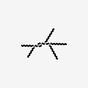 CCCCCCCCCCCCN(CCCCCCCCCCCC)CCN(CCCCCCCCCCCC)CCN1CCN(CCN(CCCCCCCCC)CCCCCCCCC)CC1